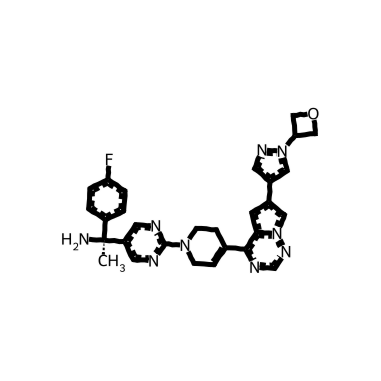 C[C@](N)(c1ccc(F)cc1)c1cnc(N2CC=C(c3ncnn4cc(-c5cnn(C6COC6)c5)cc34)CC2)nc1